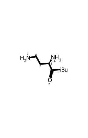 CCC(C)C(=O)[C@H](N)CCN